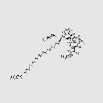 CCCCCCCCCCCCCCCCCCCCCCC#CCCc1ccccc1C1=CC(CC)=C(c2ccc(CCCC)cc2)[N+]1=[N-].[CH3][Pd][CH3]